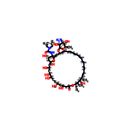 CCN(CC)C(=O)N[C@H]1[C@@H]2CC(O[C@@H]3OC(C)[C@@H](O)[C@H](N)[C@@H]3O)/C=C/C=C/C=C/C=C/C=C/C=C/C=C/[C@H](C)[C@@H](O)[C@@H](C)[C@H](C)OC(=O)CC(O)CC(O)CCC(O)C(O)CC(O)CC(O)(C[C@@H]1O)O2